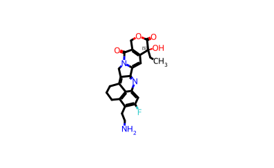 CC[C@@]1(O)C(=O)OCc2c1cc1n(c2=O)Cc2c-1nc1cc(F)c(CCN)c3c1c2CCC3